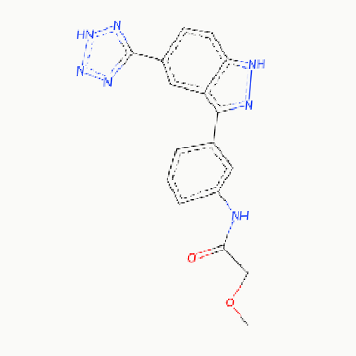 COCC(=O)Nc1cccc(-c2n[nH]c3ccc(-c4nn[nH]n4)cc23)c1